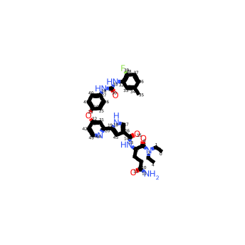 CCN(CC)C(=O)C(CCC(N)=O)NC(=O)c1c[nH]c(-c2cc(Oc3ccc(NC(=O)Nc4cc(C)ccc4F)cc3)ccn2)c1